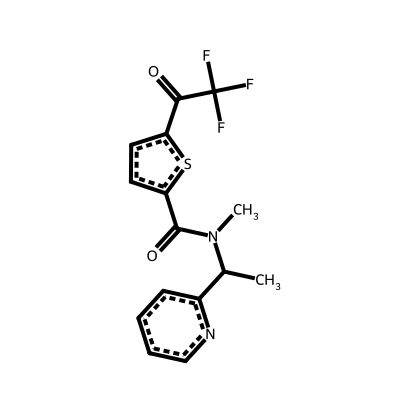 CC(c1ccccn1)N(C)C(=O)c1ccc(C(=O)C(F)(F)F)s1